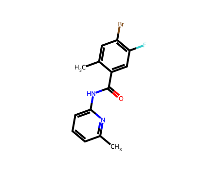 Cc1cccc(NC(=O)c2cc(F)c(Br)cc2C)n1